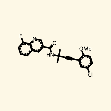 COc1ccc(Cl)cc1C#CC(C)(C)NC(=O)c1cnc2c(F)cccc2c1